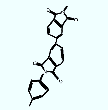 Cc1ccc(N2C(=O)c3ccc(-c4ccc5c(c4)C(=O)N(C)C5=O)cc3C2=O)cc1